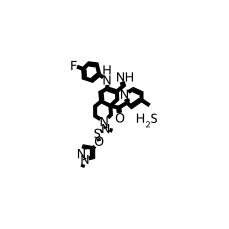 Cc1ccnc(C(=O)C23CC(C=N)=C(Nc4ccc(F)cc4)C=C2CCN(N(C)SOc2cnn(C)c2)C3)c1.S